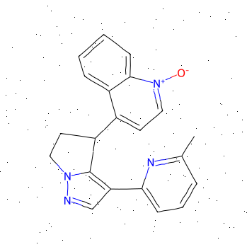 Cc1cccc(-c2cnn3c2C(c2cc[n+]([O-])c4ccccc24)CC3)n1